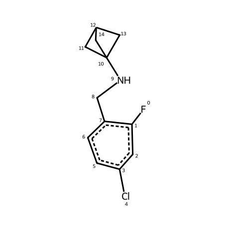 Fc1cc(Cl)ccc1CNC12CC(C1)C2